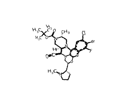 C[C@@H]1CN2c3c4c(nc5c(F)c(Br)c(Cl)cc35)O[C@@H]([C@@H]3CCCN3C)CN4C(=C=O)[C@H]2CN1C(=O)OC(C)(C)C